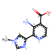 Cn1cnc(-c2nccc(C(=O)O)c2N)c1